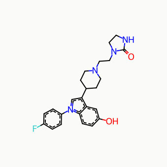 O=C1NCCN1CCN1CCC(c2cn(-c3ccc(F)cc3)c3ccc(O)cc23)CC1